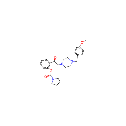 COc1ccc(CN2CCN(CC(=O)c3ccccc3OC(=O)N3CCCC3)CC2)cc1